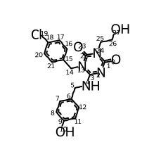 O=c1nc(NCc2ccc(O)cc2)n(Cc2ccc(Cl)cc2)c(=O)n1CCO